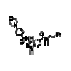 CC(C)CCNC(=O)c1ccc2[nH]nc(NC(=O)c3ccc(N4CCOCC4)cc3)c2c1